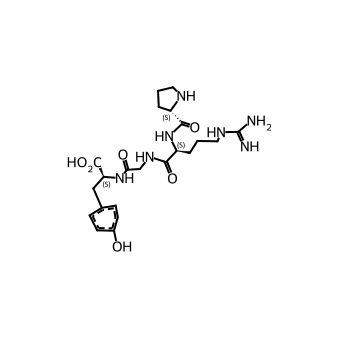 N=C(N)NCCC[C@H](NC(=O)[C@@H]1CCCN1)C(=O)NCC(=O)N[C@@H](Cc1ccc(O)cc1)C(=O)O